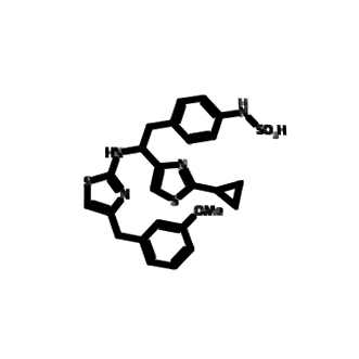 COc1cccc(Cc2csc(NC(Cc3[c]cc(NS(=O)(=O)O)cc3)c3csc(C4CC4)n3)n2)c1